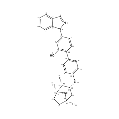 Oc1cc(-n2ncc3ccccc32)ccc1-c1ccc(O[C@@H]2C[C@H]3CC[C@H](N3)[C@@H]2F)nn1